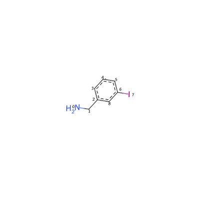 NCc1c[c]cc(I)c1